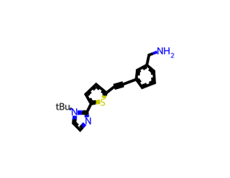 CC(C)(C)n1ccnc1-c1ccc(C#Cc2cccc(CN)c2)s1